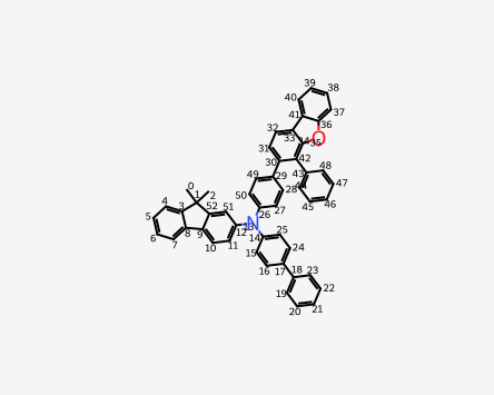 CC1(C)c2ccccc2-c2ccc(N(c3ccc(-c4ccccc4)cc3)c3ccc(-c4ccc5c(oc6ccccc65)c4-c4ccccc4)cc3)cc21